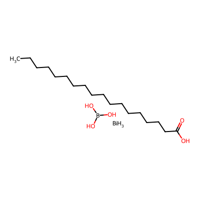 CCCCCCCCCCCCCCCCCC(=O)O.OB(O)O.[BiH3]